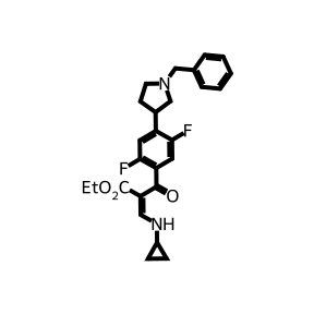 CCOC(=O)/C(=C/NC1CC1)C(=O)c1cc(F)c(C2CCN(Cc3ccccc3)C2)cc1F